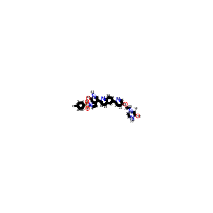 Cc1ccc(S(=O)(=O)n2ccc3c(-c4ccc5cc(-c6ccc(OCCN7CCN(C)C(=O)[C@H]7C)cn6)ccc5n4)cn(C)c(=O)c32)cc1